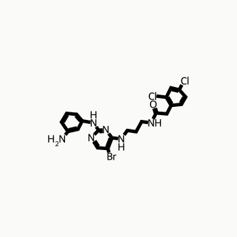 Nc1cccc(Nc2ncc(Br)c(NCCCNC(=O)Cc3ccc(Cl)cc3Cl)n2)c1